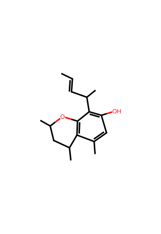 CC=CC(C)c1c(O)cc(C)c2c1OC(C)CC2C